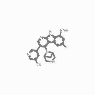 CNc1cc(F)cc2c1[nH]c1ncc(-c3cncc(C#N)c3)c(N3C4CNCC3C4)c12